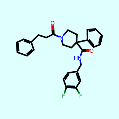 O=C(CCc1ccccc1)N1CCC(C(=O)NCc2ccc(F)c(F)c2)(c2ccccc2)CC1